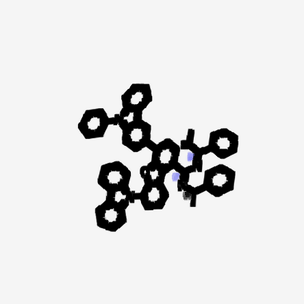 C=C(C)/C(=N\C(=N/[C@H](C)c1ccccc1)c1ccc(-c2ccc3c(c2)c2ccccc2n3-c2ccccc2)c2oc3c(-n4c5ccccc5c5ccccc54)cccc3c12)c1ccccc1